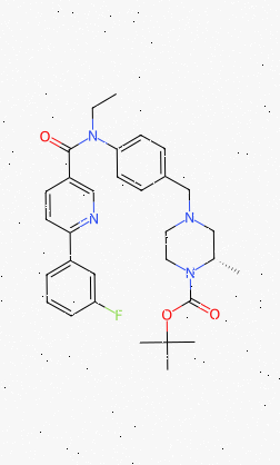 CCN(C(=O)c1ccc(-c2cccc(F)c2)nc1)c1ccc(CN2CCN(C(=O)OC(C)(C)C)[C@@H](C)C2)cc1